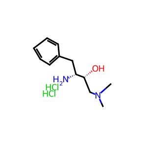 CN(C)C[C@@H](O)[C@H](N)Cc1ccccc1.Cl.Cl